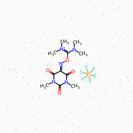 CN(C)C(ON=C1C(=O)N(C)C(=O)N(C)C1=O)=[N+](C)C.F[P-](F)(F)(F)(F)F